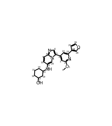 COc1cc(-c2cnc3ccc(NC4CCCC(O)C4)cn23)cc(-c2ccoc2)n1